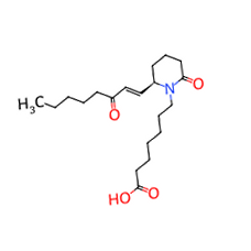 CCCCCC(=O)/C=C/[C@H]1CCCC(=O)N1CCCCCCC(=O)O